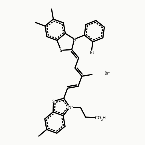 CCc1ccccc1N1C(=CC=C(C)C=Cc2sc3cc(C)ccc3[n+]2CCC(=O)O)Sc2cc(C)c(C)cc21.[Br-]